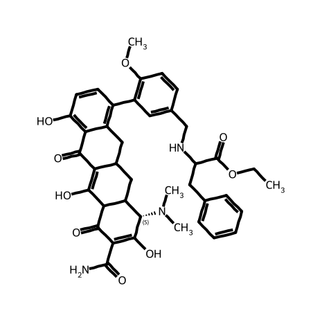 CCOC(=O)C(Cc1ccccc1)NCc1ccc(OC)c(-c2ccc(O)c3c2CC2CC4C(C(=O)C(C(N)=O)=C(O)[C@H]4N(C)C)C(O)=C2C3=O)c1